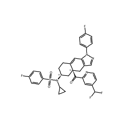 O=C(c1cc(C(F)F)ccn1)[C@]12Cc3cnn(-c4ccc(F)cc4)c3C=C1CC[C@H](N(C1CC1)S(=O)(=O)c1ccc(F)cc1)C2